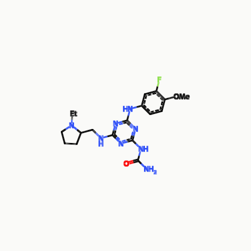 CCN1CCCC1CNc1nc(NC(N)=O)nc(Nc2ccc(OC)c(F)c2)n1